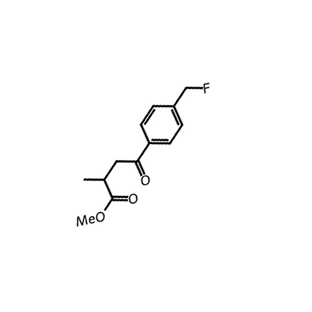 COC(=O)C(C)CC(=O)c1ccc(CF)cc1